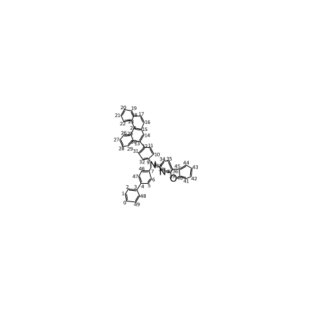 c1ccc(-c2ccc(N(c3ccc(-c4cc5ccc6ccccc6c5c5ccccc45)cc3)c3ccc4c(n3)oc3ccccc34)cc2)cc1